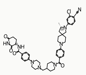 C[C@H]1CC2(CCN(c3ccc(C(=O)N4CCC(CN5CCN(c6ccc(C(=O)N[C@H]7CCC(=O)NC7=O)cc6)CC5)CC4)cc3)CC2)CN1c1ccc(C#N)c(Cl)c1